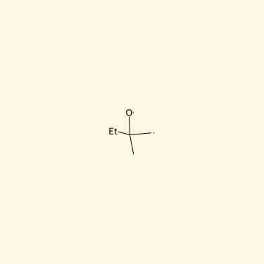 [CH2]C(C)([O])CC